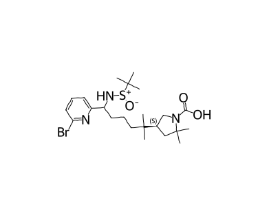 CC(C)(CCCC(N[S+]([O-])C(C)(C)C)c1cccc(Br)n1)[C@H]1CN(C(=O)O)C(C)(C)C1